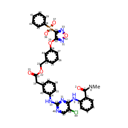 CNC(=O)c1ccccc1Nc1nc(Nc2cccc(CC(=O)OCc3cccc(Oc4nonc4S(=O)(=O)c4ccccc4)c3)c2)ncc1Cl